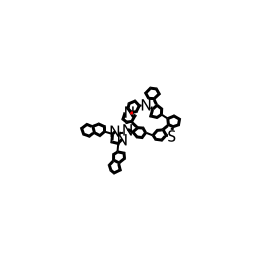 c1ccc(-n2c3ccccc3c3cc(-c4cccc5sc6ccc(-c7ccc8c(c7)c7cnccc7n8-c7nc(-c8ccc9ccccc9c8)cc(-c8ccc9ccccc9c8)n7)cc6c45)ccc32)cc1